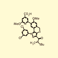 COc1cc(C(=O)O)cc(-c2cc3c(cc2OC)CSc2c(C(=O)N(C)C(C)(C)C)nn(-c4cc(Cl)cc(Cl)c4)c2-3)n1